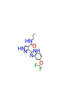 CCCNC(=O)c1c[nH]nc1-c1nc2cc(OC(F)F)ccc2[nH]1